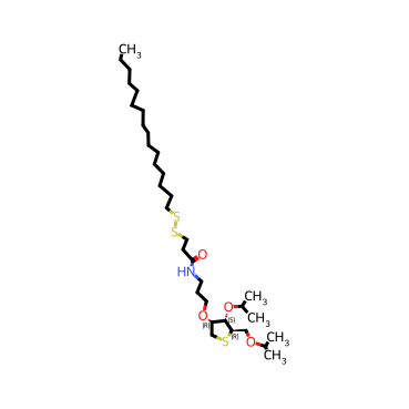 CCCCCCCCCCCCCCCCSSCCC(=O)NCCCO[C@H]1CS[C@H](COC(C)C)[C@H]1OC(C)C